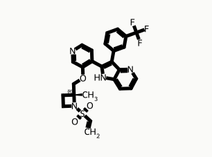 C=CS(=O)(=O)N1CC[C@]1(C)COc1cnccc1-c1[nH]c2cccnc2c1-c1cccc(C(F)(F)F)c1